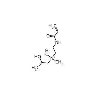 C=CC(=O)NCC[N+](C)(C)CC(C)O